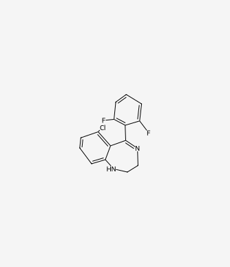 Fc1cccc(F)c1C1=NCCNc2cccc(Cl)c21